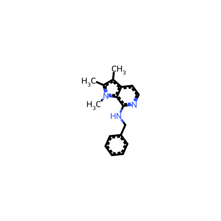 Cc1c(C)n(C)c2c(NCc3ccccc3)nccc12